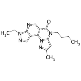 CCCCn1c(=O)c2cnc3c(cnn3CC)c2n2nc(C)cc12